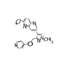 Cn1cc(-c2cnc3ccc(Cl)nc3c2)c(COc2ccncc2)n1